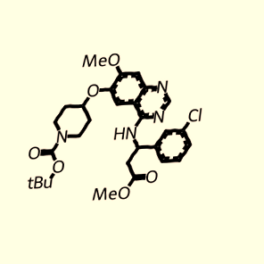 COC(=O)CC(Nc1ncnc2cc(OC)c(OC3CCN(C(=O)OC(C)(C)C)CC3)cc12)c1cccc(Cl)c1